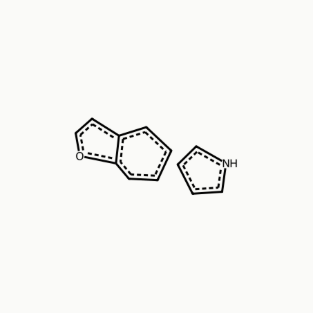 c1cc[nH]c1.c1ccc2occc2c1